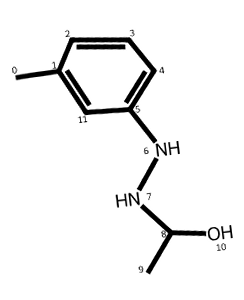 Cc1cccc(NNC(C)O)c1